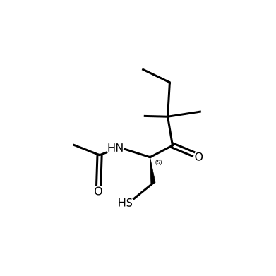 CCC(C)(C)C(=O)[C@@H](CS)NC(C)=O